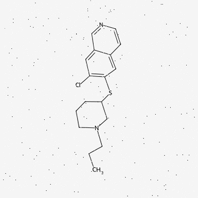 CCCN1CCCC(Sc2cc3ccncc3cc2Cl)C1